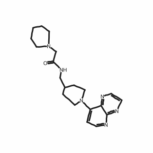 O=C(CN1CCCCC1)NCC1CCN(c2ccnc3nccnc23)CC1